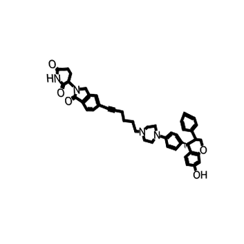 O=C1CCC(N2Cc3cc(C#CCCCCN4CCN(c5ccc([C@@H]6c7ccc(O)cc7OCC6c6ccccc6)cc5)CC4)ccc3C2=O)C(=O)N1